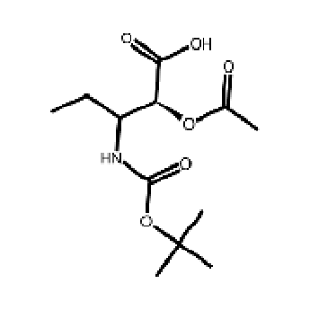 CCC(NC(=O)OC(C)(C)C)[C@H](OC(C)=O)C(=O)O